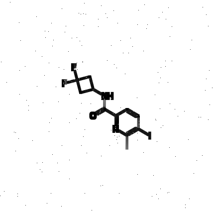 Cc1nc(C(=O)NC2CC(F)(F)C2)ccc1I